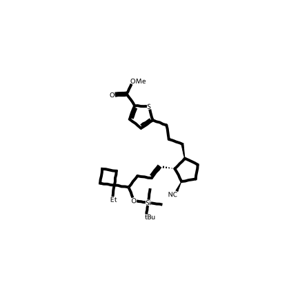 CCC1(C(C/C=C/[C@@H]2[C@@H](CCCc3ccc(C(=O)OC)s3)CC[C@H]2C#N)O[Si](C)(C)C(C)(C)C)CCC1